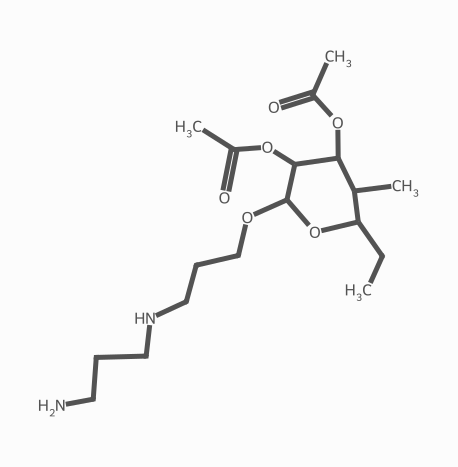 CCC1OC(OCCCNCCCN)C(OC(C)=O)C(OC(C)=O)C1C